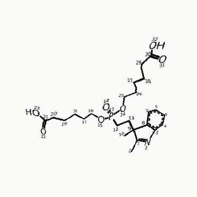 CC1=Nc2ccccc2C1(C)CCP(=O)(OCCCCCC(=O)O)OCCCCCC(=O)O